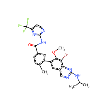 COc1c(-c2cc(C(=O)Nc3nccc(C(F)(F)F)n3)ccc2C)cc2cnc(NC(C)C)nc2c1Br